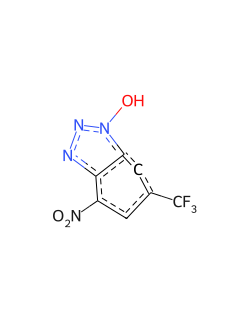 O=[N+]([O-])c1cc(C(F)(F)F)cc2c1nnn2O